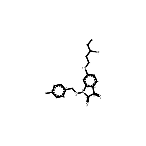 CCC(O)CCOc1ccc2c(c1)N(OCc1ccc(C)cc1)C(=O)C2=O